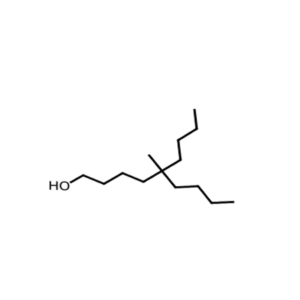 CCCCC(C)(CCCC)CCCCO